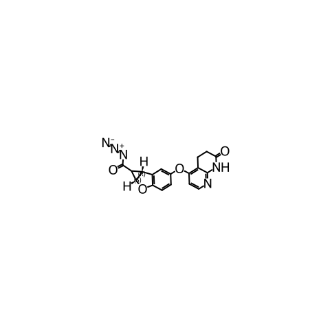 [N-]=[N+]=NC(=O)C1[C@H]2Oc3ccc(Oc4ccnc5c4CCC(=O)N5)cc3[C@@H]12